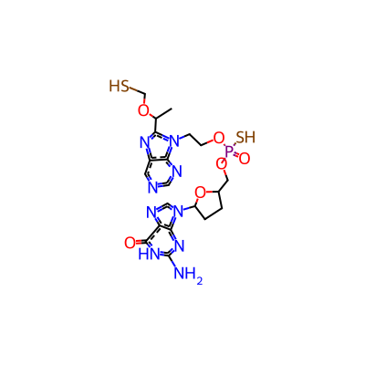 CC(OCS)c1nc2cncnc2n1CCOP(=O)(S)OCC1CCC(n2cnc3c(=O)[nH]c(N)nc32)O1